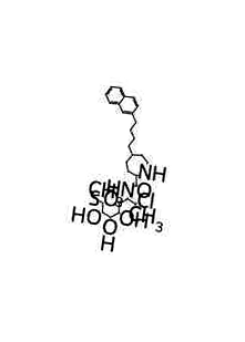 CSC1OC(C(NC(=O)C2CCC(CCCCc3ccc4ccccc4c3)CCN2)C(C)Cl)C(O)C(O)C1O